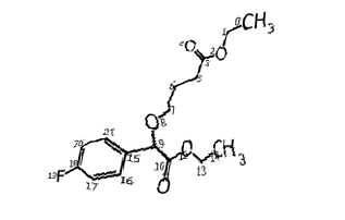 CCOC(=O)CCCOC(C(=O)OCC)c1ccc(F)cc1